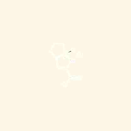 Cl.O=C(O)C1CC2CCC[C@@H]2N1